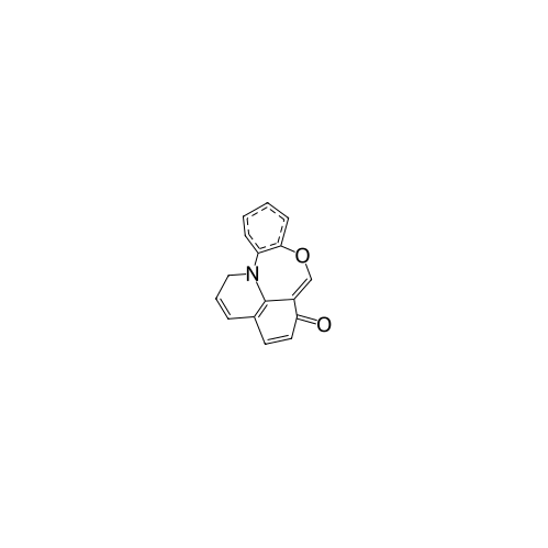 O=C1C=CC2=C3C1=COc1ccccc1N3CC=C2